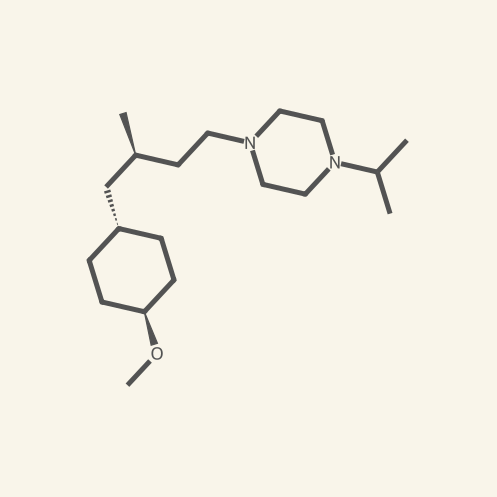 CO[C@H]1CC[C@H](C[C@@H](C)CCN2CCN(C(C)C)CC2)CC1